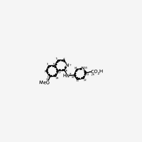 COc1ccc2ccnc(Nc3ccc(C(=O)O)nc3)c2c1